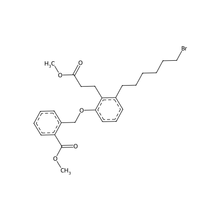 COC(=O)CCc1c(CCCCCCBr)cccc1OCc1ccccc1C(=O)OC